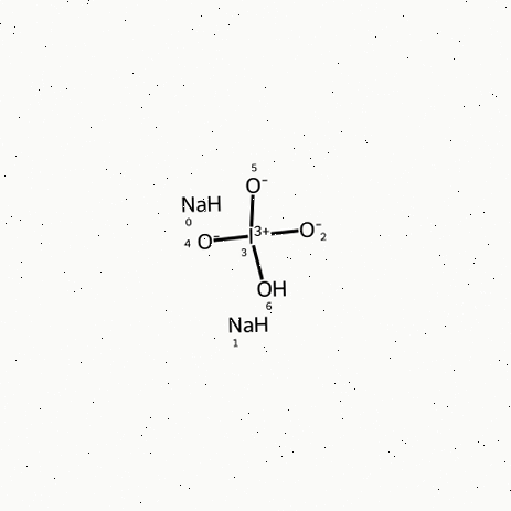 [NaH].[NaH].[O-][I+3]([O-])([O-])O